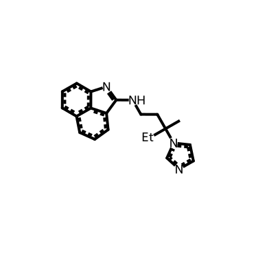 CCC(C)(CCNC1=Nc2cccc3cccc1c23)n1ccnc1